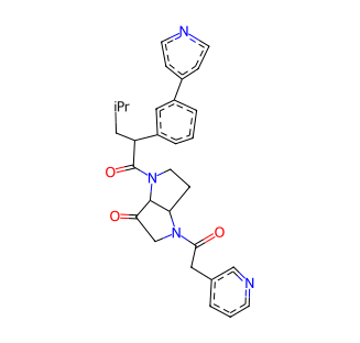 CC(C)CC(C(=O)N1CCC2C1C(=O)CN2C(=O)Cc1cccnc1)c1cccc(-c2ccncc2)c1